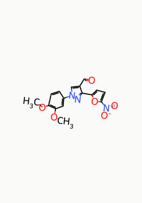 COc1ccc(-n2cc(C=O)c(-c3ccc([N+](=O)[O-])o3)n2)cc1OC